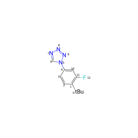 CC(C)(C)c1ccc(-n2cnnn2)cc1F